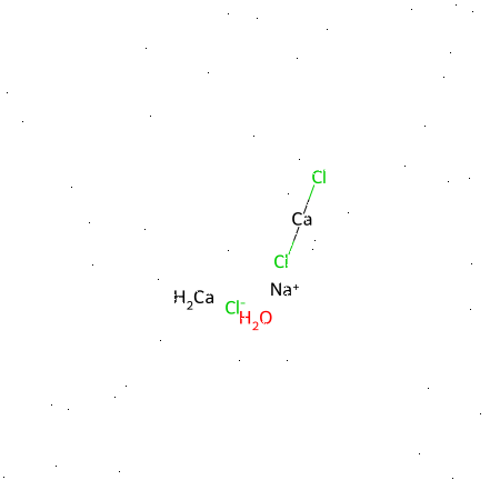 O.[CaH2].[Cl-].[Cl][Ca][Cl].[Na+]